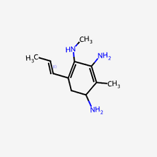 C/C=C/C1=C(NC)C(N)=C(C)C(N)C1